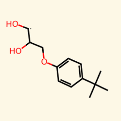 CC(C)(C)c1ccc(OCC(O)[CH]O)cc1